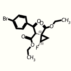 CCOC(=O)C(C(=O)c1ccc(Br)cc1)[C@]1(C(=O)OCC)C[C@@H]1F